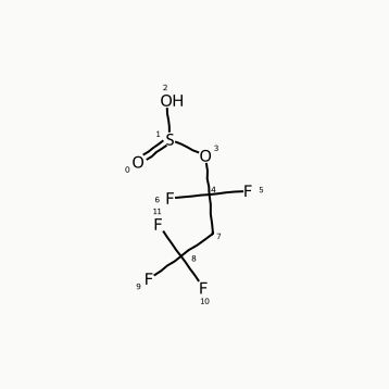 O=S(O)OC(F)(F)CC(F)(F)F